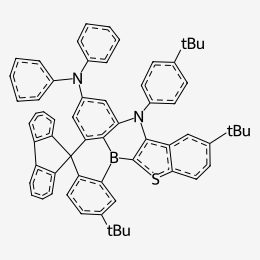 CC(C)(C)c1ccc(N2c3cc(N(c4ccccc4)c4ccccc4)cc4c3B(c3cc(C(C)(C)C)ccc3C43c4ccccc4-c4ccccc43)c3sc4ccc(C(C)(C)C)cc4c32)cc1